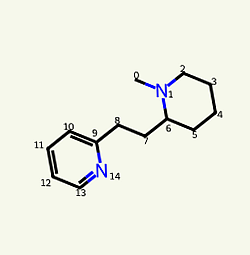 CN1CCCCC1CCc1ccccn1